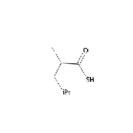 CC(C)CC(C)C(=O)S